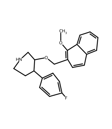 COc1c(COC2CNCCC2c2ccc(F)cc2)ccc2ccccc12